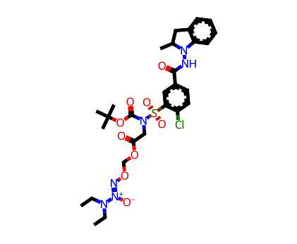 CCN(CC)[N+]([O-])=NOCOC(=O)CN(C(=O)OC(C)(C)C)S(=O)(=O)c1cc(C(=O)NN2c3ccccc3CC2C)ccc1Cl